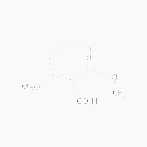 COc1cccc(OC(F)(F)F)c1C(=O)O